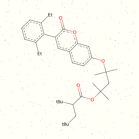 CCc1cccc(CC)c1-c1cc2ccc(OC(C)(C)CC(C)(C)OC(=O)C(CC(C)(C)C)C(C)(C)C)cc2oc1=O